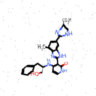 Cc1cc(C2=N[C@H](C(=O)O)CN2)cc2[nH]c(-c3c(N[C@H](CO)Cc4ccccc4)cc[nH]c3=O)nc12